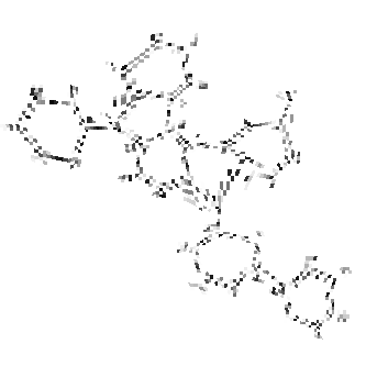 Clc1ccc2c(c1)c1c3c4ccccc4n(-c4ccccc4)c3ccc1n2-c1cccc(-c2ccccc2)c1